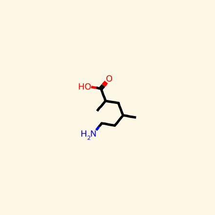 CC(CCN)CC(C)C(=O)O